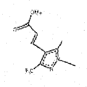 COC(=O)C=Cc1c(C(F)(F)F)nn(C)c1C